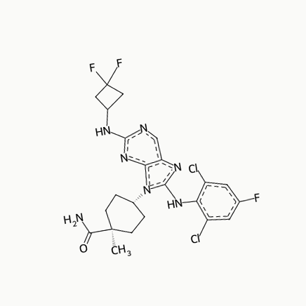 C[C@]1(C(N)=O)CC[C@H](n2c(Nc3c(Cl)cc(F)cc3Cl)nc3cnc(NC4CC(F)(F)C4)nc32)CC1